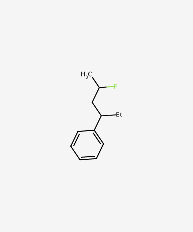 CCC(CC(C)F)c1cc[c]cc1